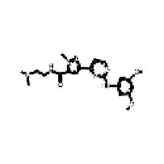 COc1cc(Nc2nccc(-c3cc(C(=O)NCCN(C)C)n(C)n3)n2)cc(OC)c1